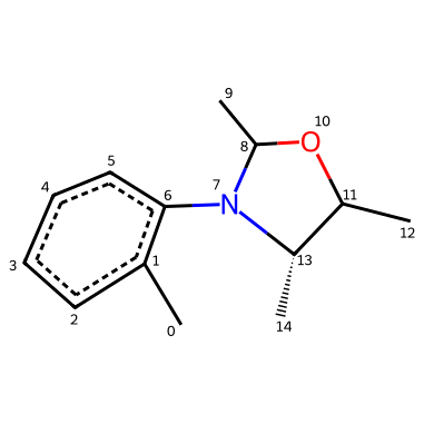 Cc1ccccc1N1C(C)OC(C)[C@@H]1C